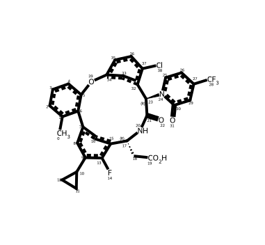 Cc1cccc2c1-c1cc(C3CC3)c(F)c(c1)[C@@H](CC(=O)O)NC(=O)[C@H](n1ccc(C(F)(F)F)cc1=O)c1cc(ccc1Cl)O2